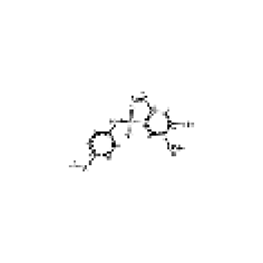 CCOc1ccc(NS(=O)(=O)c2cc(OC)c(Cl)cc2OC)cc1